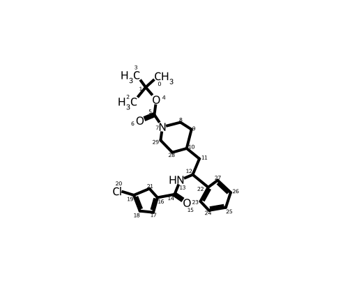 CC(C)(C)OC(=O)N1CCC(CC(NC(=O)C2=CC=C(Cl)C2)c2ccccc2)CC1